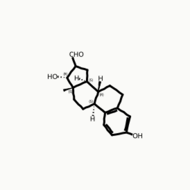 C[C@]12CC[C@@H]3c4ccc(O)cc4CC[C@H]3[C@@H]1CC(C=O)[C@H]2O